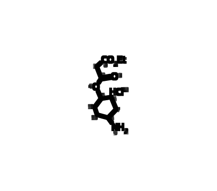 CCOC(=O)CC(=O)OC1CCC(N)CC1.Cl